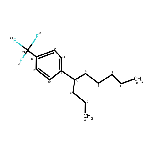 CCCCCC(CCC)c1ccc(C(F)(F)F)cc1